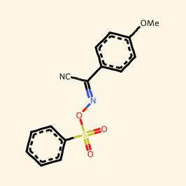 COc1ccc(C(C#N)=NOS(=O)(=O)c2ccccc2)cc1